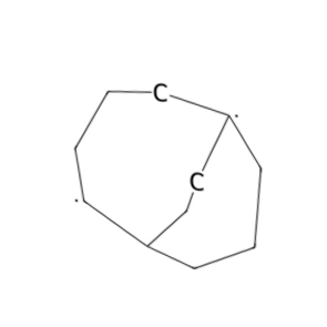 [CH]1CCC[C]2CCCC1CC2